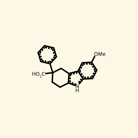 COc1ccc2[nH]c3c(c2c1)CC(C(=O)O)(c1ccccc1)CC3